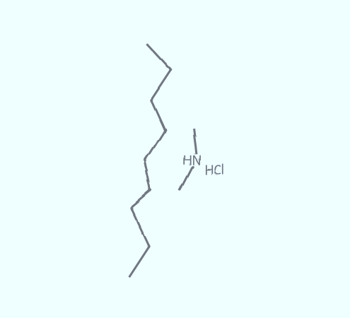 CCCCCCCCC.CNC.Cl